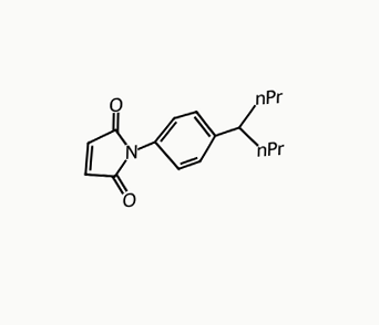 CCCC(CCC)c1ccc(N2C(=O)C=CC2=O)cc1